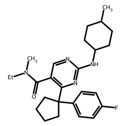 CCN(C)C(=O)c1cnc(NC2CCC(C)CC2)nc1C1(c2ccc(F)cc2)CCCC1